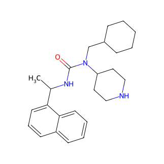 CC(NC(=O)N(CC1CCCCC1)C1CCNCC1)c1cccc2ccccc12